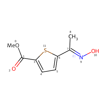 COC(=O)c1ccc(/C(C)=N/O)s1